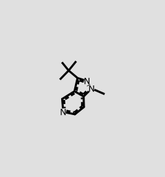 Cn1nc(C(C)(C)C)c2cnccc21